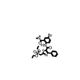 CCOP(=O)(Cc1nc(-c2ccccc2)c(C(=O)Nc2ccc(Br)cc2C(=O)N(C)C)s1)OCC